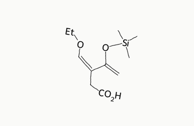 C=C(O[Si](C)(C)C)C(=COCC)CC(=O)O